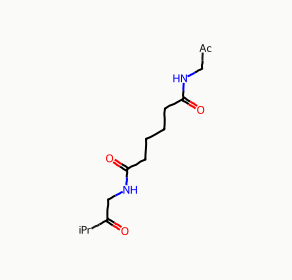 CC(=O)CNC(=O)CCCCC(=O)NCC(=O)C(C)C